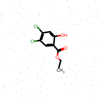 CCOC(=O)c1cc(Cl)c(Cl)cc1O